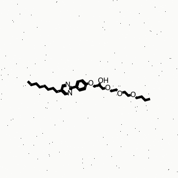 CCCCCCCCc1cnc(-c2ccc(OCC(O)COCCOCCOCCCC)cc2)nc1